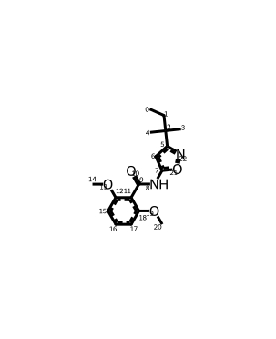 CCC(C)(C)c1cc(NC(=O)c2c(OC)cccc2OC)on1